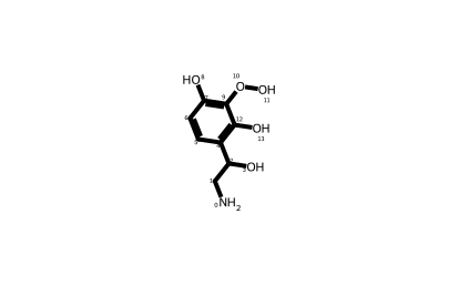 NCC(O)c1ccc(O)c(OO)c1O